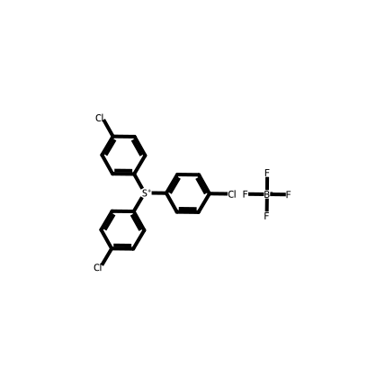 Clc1ccc([S+](c2ccc(Cl)cc2)c2ccc(Cl)cc2)cc1.F[B-](F)(F)F